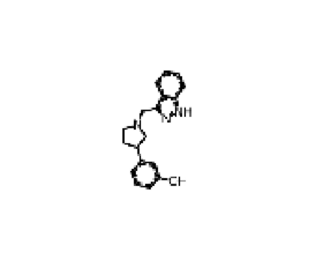 Oc1cccc(C2CCN(Cc3n[nH]c4ccccc34)C2)c1